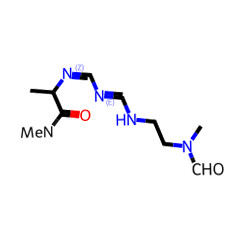 CNC(=O)C(C)/N=C\N=C\NCCN(C)C=O